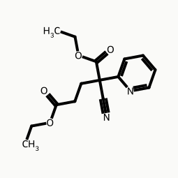 CCOC(=O)CCC(C#N)(C(=O)OCC)c1ccccn1